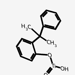 CC(C)(c1ccccc1)c1ccccc1[O][Ti](=[O])[OH]